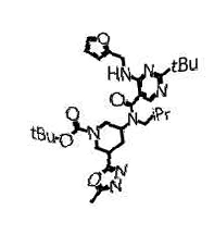 Cc1nnc(C2CC(N(CC(C)C)C(=O)c3cnc(C(C)(C)C)nc3NCc3ccco3)CN(C(=O)OC(C)(C)C)C2)o1